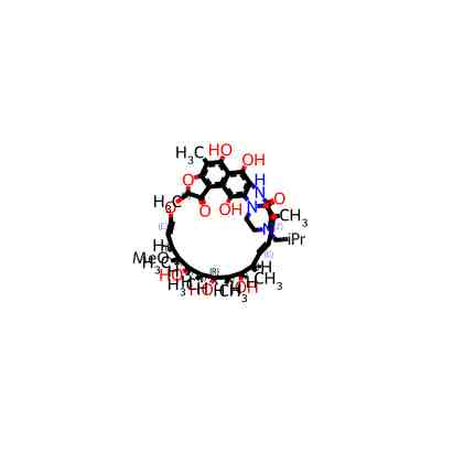 CO[C@H]1/C=C/O[C@@]2(C)Oc3c(C)c(O)c4c(O)c(c(N5CCN(CC(C)C)CC5)c(O)c4c3C2=O)NC(=O)/C(C)=C\C=C\[C@H](C)[C@H](O)[C@@H](C)[C@@H](O)[C@@H](C)[C@H](O)[C@@H]1C